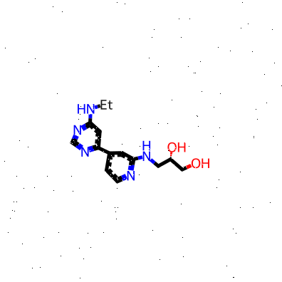 CCNc1cc(-c2ccnc(NC[C@H](O)CO)c2)ncn1